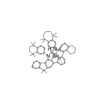 Bc1c2cc3c(c1N(c1ccc4c(c1)C(C)(C)CCC4(C)C)C1=C(c4c-2cccc4-c2c(N)ccc4c2CCCC4)C(C)(C)c2cc4c(cc21)C(C)(C)CCCC4(C)C)-c1ccccc1C3(C)C